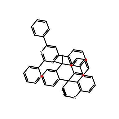 CC1(C)c2ccccc2C2(c3ccccc3Oc3cccc(-c4cccc(-c5cc(-c6ccccc6)nc(-c6ccccn6)n5)c4)c32)c2ccccc21